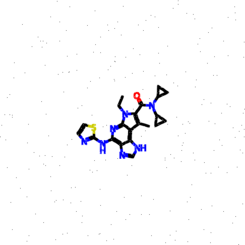 CCn1c(C(=O)N(C2CC2)C2CC2)c(C)c2c3[nH]cnc3c(Nc3nccs3)nc21